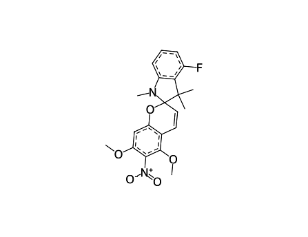 COc1cc2c(c(OC)c1[N+](=O)[O-])C=CC1(O2)N(C)c2cccc(F)c2C1(C)C